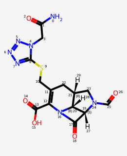 NC(=O)Cn1nnnc1SCC1=C(C(=O)O)N2C(=O)[C@@H]3[C@H]2[C@H](C1)CN3C=O